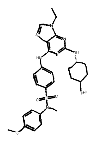 CCn1cnc2c(Nc3ccc(S(=O)(=O)N(C)c4ccc(OC)cc4)cc3)nc(N[C@H]3CC[C@H](O)CC3)nc21